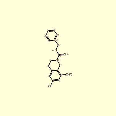 O=Cc1cc(Cl)cc2c1CN(C(=O)OCc1ccccc1)CC2